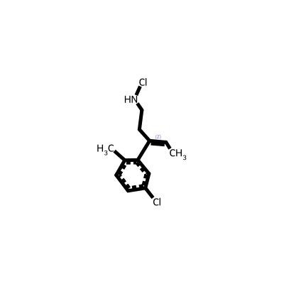 C/C=C(/CCNCl)c1cc(Cl)ccc1C